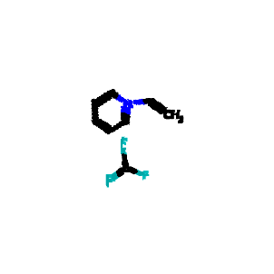 C=C[n+]1ccccc1.FB(F)F